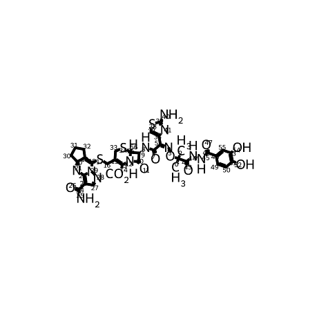 CC(C)(O/N=C(\C(=O)N[C@@H]1C(=O)N2C(C(=O)O)=C(CSc3c4c(nc5c(C(N)=O)cnn35)CCC4)CS[C@H]12)c1csc(N)n1)C(=O)NNC(=O)c1ccc(O)c(O)c1